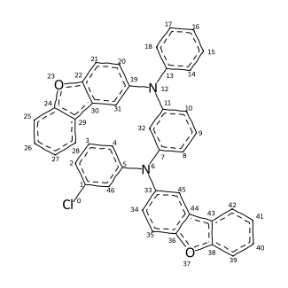 Clc1cccc(N(c2cccc(N(c3ccccc3)c3ccc4oc5ccccc5c4c3)c2)c2ccc3oc4ccccc4c3c2)c1